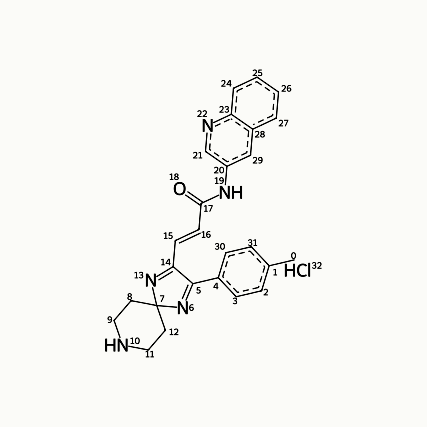 Cc1ccc(C2=NC3(CCNCC3)N=C2/C=C/C(=O)Nc2cnc3ccccc3c2)cc1.Cl